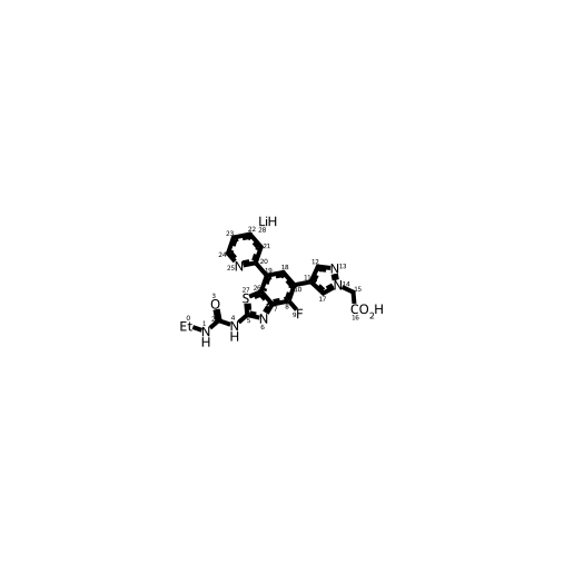 CCNC(=O)Nc1nc2c(F)c(-c3cnn(CC(=O)O)c3)cc(-c3ccccn3)c2s1.[LiH]